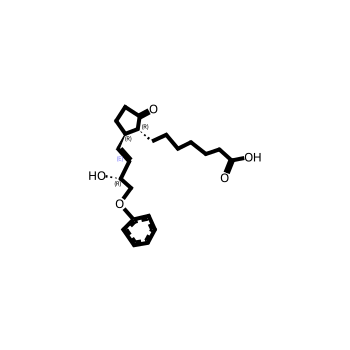 O=C(O)CCCCCC[C@H]1C(=O)CC[C@@H]1/C=C/[C@@H](O)COc1ccccc1